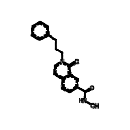 O=C(NO)c1ccc2ccn(CCCc3ccccc3)c(=O)c2c1